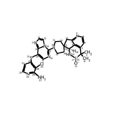 CC1(C)c2ccnc3c2[C@@H](N[S@+]1[O-])C1(CCN(c2ncc(Sc4ccnc(N)c4Cl)c4nccn24)CC1)C3